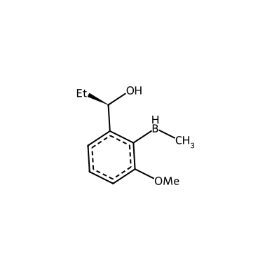 CBc1c(OC)cccc1[C@H](O)CC